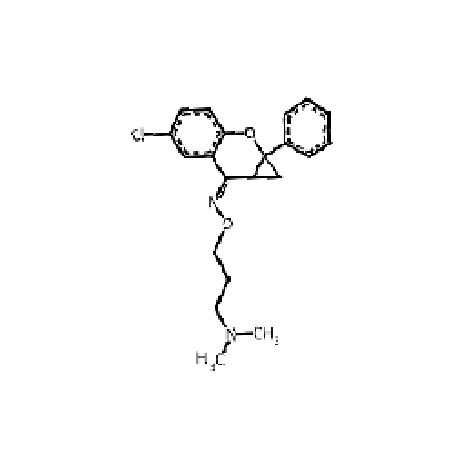 CN(C)CCCON=C1c2cc(Cl)ccc2OC2(c3ccccc3)CC12